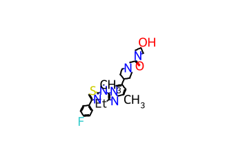 CCc1nc2c(C)cc(C3CCN(CC(=O)N4CC(O)C4)CC3)cn2c1N(C)c1nc(-c2ccc(F)cc2)cs1